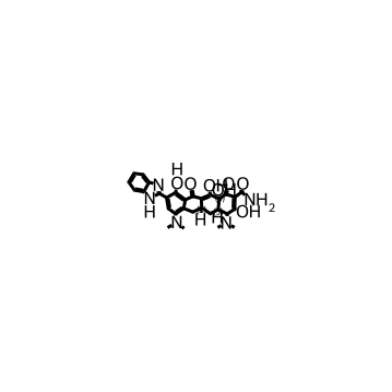 CN(C)c1cc(-c2nc3ccccc3[nH]2)c(O)c2c1C[C@H]1C[C@H]3C(N(C)C)C(O)=C(C(N)=O)C(=O)[C@@]3(O)C(O)=C1C2=O